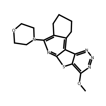 COc1nnnc2c1sc1nc(N3CCOCC3)c3c(c12)CCCC3